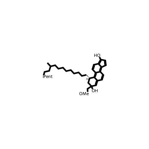 CCCC(C)CCC(C)CCCCCCCCC[C@H]1CC(O)(COC)C=c2ccc3c4c(ccc3c21)=C(O)C=C4